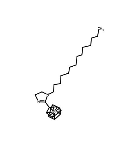 CCCCCCCCCCCCCCN1CCN=C1[C]12[CH]3[CH]4[CH]5[CH]1[Fe]45321678[CH]2[CH]1[CH]6[CH]7[CH]28